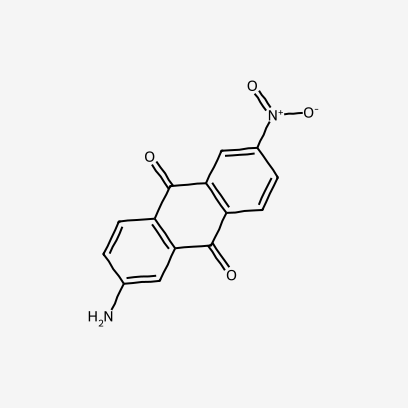 Nc1ccc2c(c1)C(=O)c1ccc([N+](=O)[O-])cc1C2=O